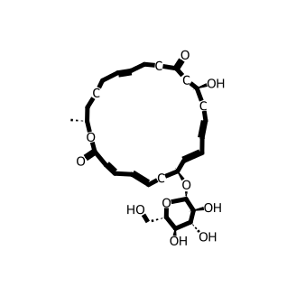 C[C@@H]1CCC/C=C/CCC(=O)C[C@@H](O)C/C=C\C=C\[C@@H](O[C@H]2O[C@@H](CO)[C@H](O)[C@@H](O)[C@@H]2O)C/C=C/C=C\C(=O)O1